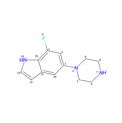 Fc1cc(N2CCNCC2)cc2cc[nH]c12